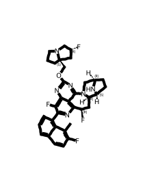 Cc1c(F)ccc2cccc(-c3nc4c5c(nc(OC[C@@]67CCCN6C[C@H](F)C7)nc5c3F)N3C[C@H]5CC[C@H](N5)[C@H]3C[C@H]4F)c12